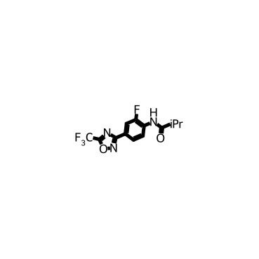 CC(C)C(=O)Nc1ccc(-c2noc(C(F)(F)F)n2)cc1F